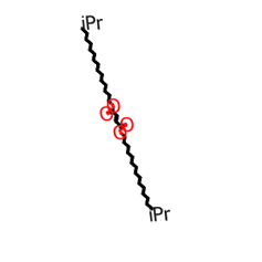 CC(C)CCCCCCCCCCCCCCCOC(=O)/C=C/C(=O)OCCCCCCCCCCCCCCCC(C)C